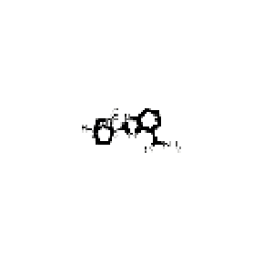 CN1C[C@H]2CC[C@]1(c1nc3c(C(N)=O)cccc3[nH]1)C2